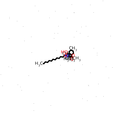 CCCCCCCCCCCCC(C)[N+](C)(C)C(C)(C(=O)[O-])C1(C(=O)O)CC(C)CCC1C(C)C